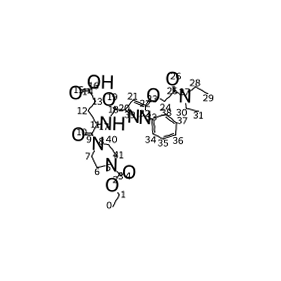 CCOC(=O)N1CCN(C(=O)C(CCC(=O)O)NC(=O)c2cc(OCC(=O)N(CC)CC)n(-c3ccccc3)n2)CC1